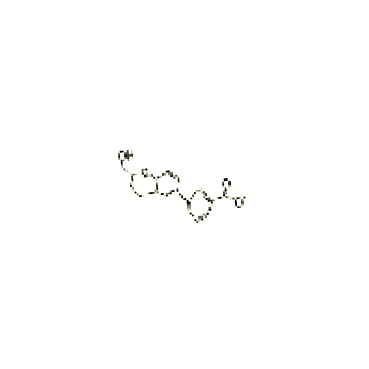 COC(=O)c1cccc(-c2ccc3c(c2)CC[C@H](CO)O3)c1